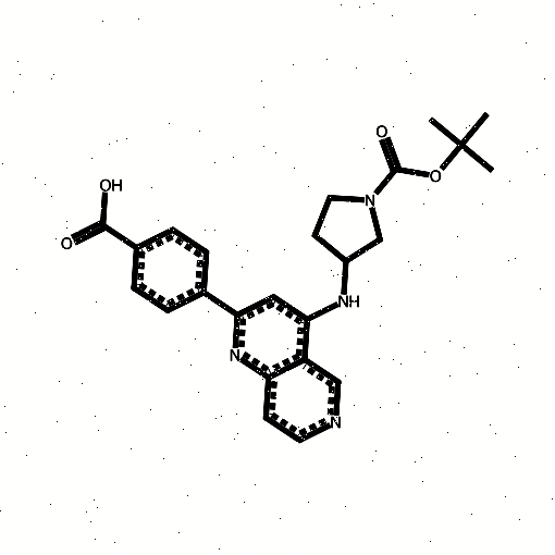 CC(C)(C)OC(=O)N1CCC(Nc2cc(-c3ccc(C(=O)O)cc3)nc3ccncc23)C1